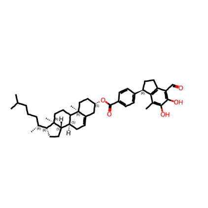 Cc1c(O)c(O)c(C=O)c2c1[C@@H](c1ccc(C(=O)O[C@H]3CC[C@@]4(C)C(=CC[C@@H]5C4CC[C@]4(C)[C@@H]([C@H](C)CCCC(C)C)CC[C@@H]54)C3)cc1)CC2